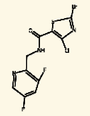 O=C(NCc1ncc(F)cc1F)c1sc(Br)nc1Cl